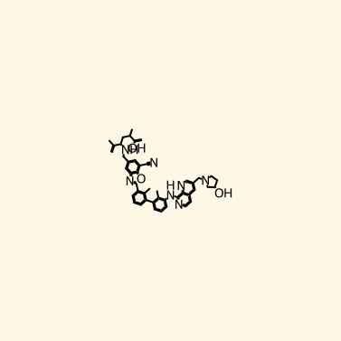 C=C(O)C(C)CC(NCc1cc(C#N)c2oc(-c3cccc(-c4cccc(Nc5nccc6cc(CN7CC[C@@H](O)C7)cnc56)c4C)c3C)nc2c1)C(=C)C